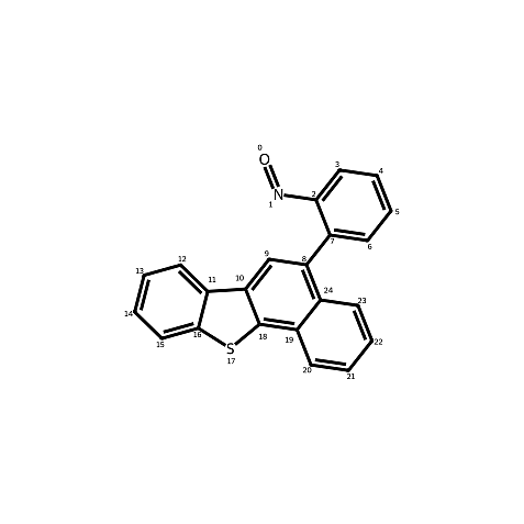 O=Nc1ccccc1-c1cc2c3ccccc3sc2c2ccccc12